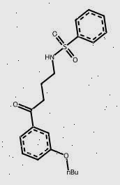 CCCCOc1cccc(C(=O)CCCNS(=O)(=O)c2ccccc2)c1